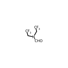 O=CN(CC(F)(F)F)CC(F)(F)F